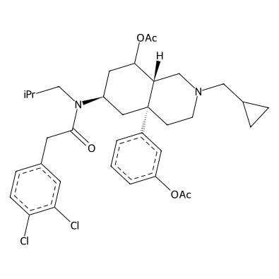 CC(=O)Oc1cccc([C@@]23CCN(CC4CC4)C[C@H]2C(OC(C)=O)C[C@H](N(CC(C)C)C(=O)Cc2ccc(Cl)c(Cl)c2)C3)c1